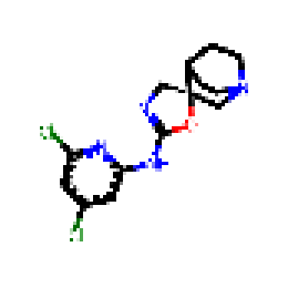 Clc1cc(Cl)nc(NC2=NC[C@@]3(CN4CCC3CC4)O2)c1